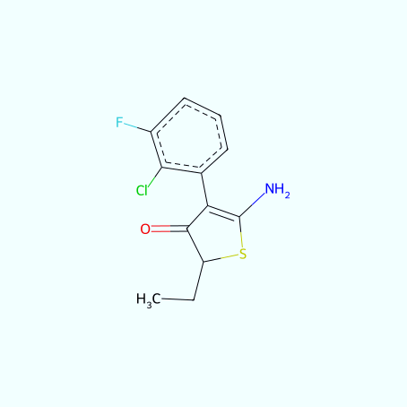 CCC1SC(N)=C(c2cccc(F)c2Cl)C1=O